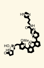 COc1nc(-c2cccc(-c3cccc(-c4ccc5nc(C(=O)NCCc6c[nH]cn6)cn5n4)c3Cl)c2Cl)ccc1CN(C[C@@H]1CCC(=O)N1)C(=O)O